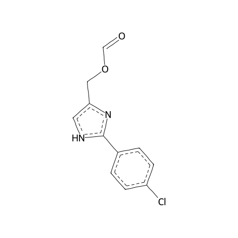 O=COCc1c[nH]c(-c2ccc(Cl)cc2)n1